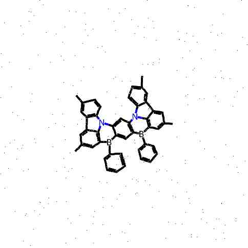 Cc1ccc2c(c1)c1cc(C)cc3c1n2-c1cc2c(cc1B3c1ccccc1)B(c1ccccc1)c1cc(C)cc3c4cc(C)ccc4n-2c13